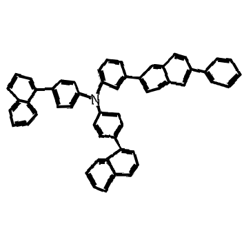 c1ccc(-c2ccc3cc(-c4cccc(N(c5ccc(-c6cccc7ccccc67)cc5)c5ccc(-c6cccc7ccccc67)cc5)c4)ccc3c2)cc1